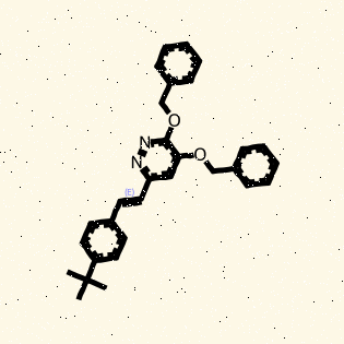 CC(C)(C)c1ccc(/C=C/c2cc(OCc3ccccc3)c(OCc3ccccc3)nn2)cc1